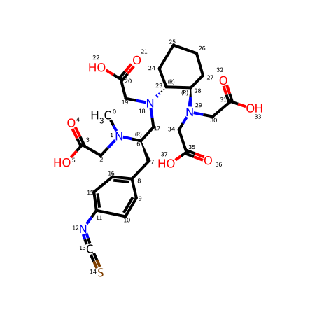 CN(CC(=O)O)[C@H](Cc1ccc(N=C=S)cc1)CN(CC(=O)O)[C@@H]1CCCC[C@H]1N(CC(=O)O)CC(=O)O